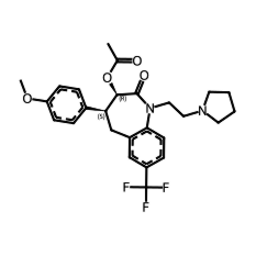 COc1ccc([C@@H]2Cc3cc(C(F)(F)F)ccc3N(CCN3CCCC3)C(=O)[C@@H]2OC(C)=O)cc1